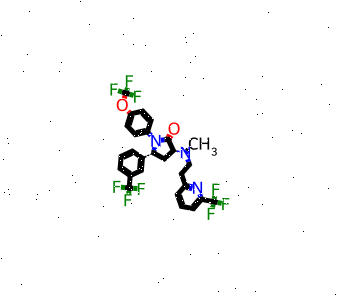 CN(CCc1cccc(C(F)(F)F)n1)[C@@H]1C[C@H](c2cccc(C(F)(F)F)c2)N(c2ccc(OC(F)(F)F)cc2)C1=O